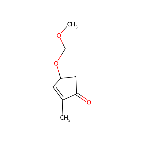 COCOC1C=C(C)C(=O)C1